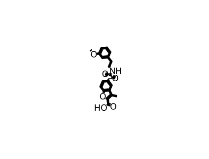 COc1cccc(CCNS(=O)(=O)c2ccc3oc(C(=O)O)c(C)c3c2)c1